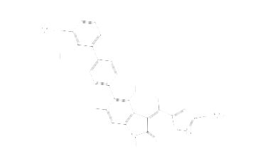 COc1cc(C(O)=C2C(=O)Nc3cc(F)c(-c4ccc(-c5cccc(OC)c5O)cc4)c(F)c32)on1